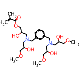 C=C(C)C(=O)OCC(O)CN(Cc1cccc(CN(CC(O)COC)CC(O)COC)c1)CC(O)COC